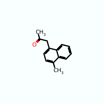 CC(=O)Cc1ccc(C)c2ccccc12